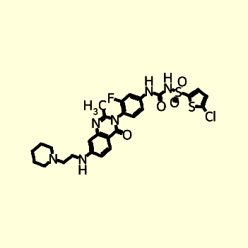 Cc1nc2cc(NCCN3CCCCC3)ccc2c(=O)n1-c1ccc(NC(=O)NS(=O)(=O)c2ccc(Cl)s2)cc1F